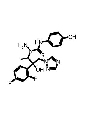 C[C@@H](N(N)C(=S)Nc1ccc(O)cc1)[C@](O)(Cn1cncn1)c1ccc(F)cc1F